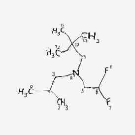 CC(C)CN(CC(F)F)CC(C)(C)C